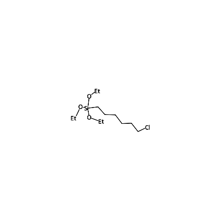 CCO[Si](CCCCCCCl)(OCC)OCC